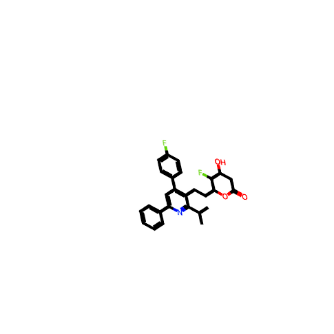 CC(C)c1nc(-c2ccccc2)cc(-c2ccc(F)cc2)c1CCC1OC(=O)CC(O)C1F